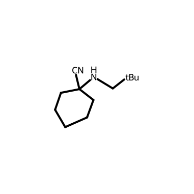 CC(C)(C)CNC1(C#N)CCCCC1